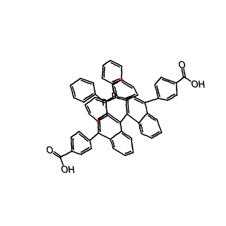 O=C(O)c1ccc(-c2cc(P(c3ccccc3)c3ccccc3)c(-c3c(P(c4ccccc4)c4ccccc4)cc(-c4ccc(C(=O)O)cc4)c4ccccc34)c3ccccc23)cc1